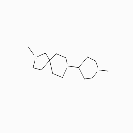 CN1CCC(N2CCC3(CCN(C)C3)CC2)CC1